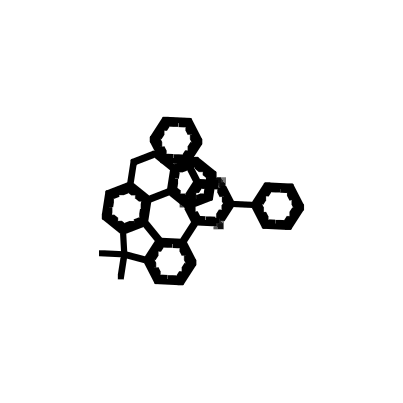 CC1(C)c2cccc(-c3nc(-c4ccccc4)nc(-c4ccccc4)n3)c2-c2c1ccc1c2-c2ccccc2CC1